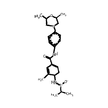 CC1=CC(C(=O)Nc2ccc(N3CC(C)OC(C)C3)cc2)=CCC1N[S+]([O-])C(C)C